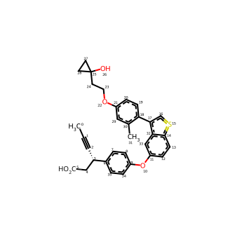 CC#C[C@@H](CC(=O)O)c1ccc(Oc2ccc3scc(-c4ccc(OCCC5(O)CC5)cc4C)c3c2)cc1